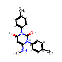 CCCCNc1cc(=O)n(-c2ccc(C)cc2)c(=O)n1-c1ccc(C)cc1